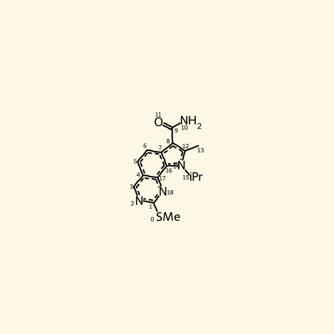 CSc1ncc2ccc3c(C(N)=O)c(C)n(C(C)C)c3c2n1